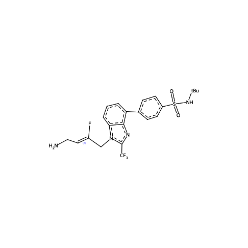 CC(C)(C)NS(=O)(=O)c1ccc(-c2cccc3c2nc(C(F)(F)F)n3C/C(F)=C/CN)cc1